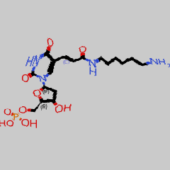 NCCCCCCNC(=O)/C=C/c1cn([C@H]2CC(O)[C@@H](COP(=O)(O)O)O2)c(=O)[nH]c1=O